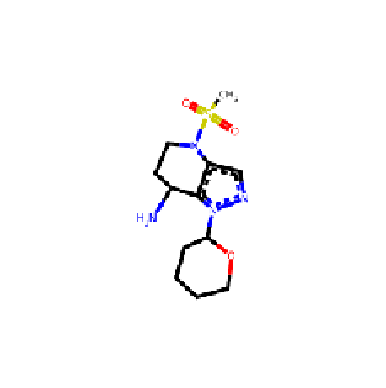 CS(=O)(=O)N1CCC(N)c2c1cnn2C1CCCCO1